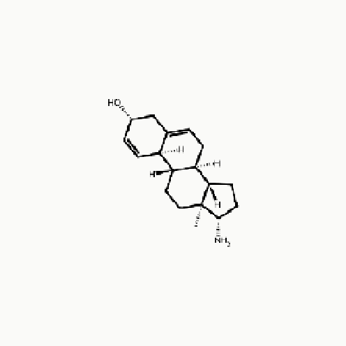 C[C@]12CC[C@H]3[C@@H](CC=C4C[C@@H](O)C=C[C@@H]43)[C@@H]1CC[C@@H]2N